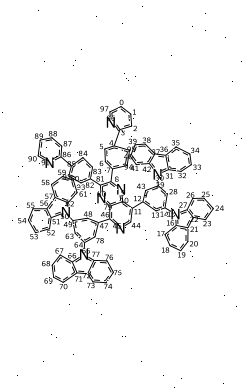 c1ccc(-c2ccc(-c3nc4c(-c5cc(-n6c7ccccc7c7ccccc76)cc(-n6c7ccccc7c7ccccc76)c5)cnc(-c5cc(-n6c7ccccc7c7ccccc76)cc(-n6c7ccccc7c7ccccc76)c5)c4nc3-c3ccc(-c4ccccn4)cc3)cc2)nc1